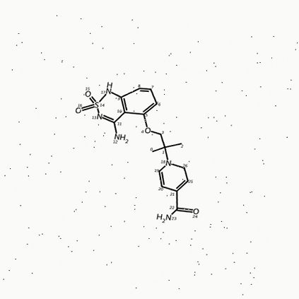 CC(C)(COc1cccc2c1C(N)=NS(=O)(=O)N2)N1C=CC(C(N)=O)=CC1